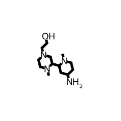 CN1CCC(N)CC1C1CN(CCO)CCN1C